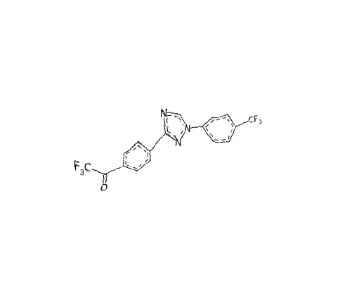 O=C(c1ccc(-c2ncn(-c3ccc(C(F)(F)F)cc3)n2)cc1)C(F)(F)F